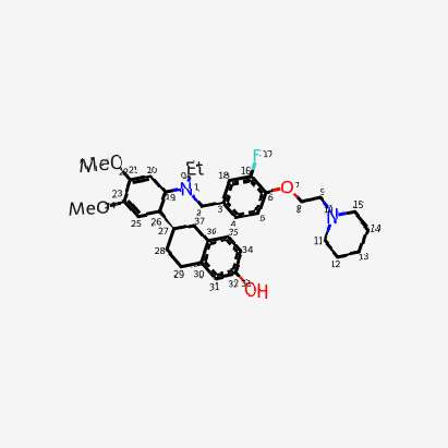 CCN(Cc1ccc(OCCN2CCCCC2)c(F)c1)C1C=C(OC)C(OC)=CC1[C@@H]1CCc2cc(O)ccc2C1